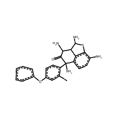 Cc1cc(Oc2ccccc2)ccc1C1(N)C(=O)C(N)C2c3c1ccc(N)c3SC2N